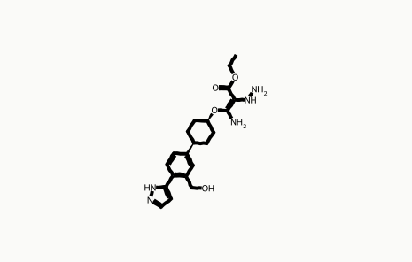 CCOC(=O)/C(NN)=C(/N)O[C@H]1CC[C@@H](c2ccc(-c3ccn[nH]3)c(CO)c2)CC1